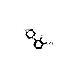 COc1cccc(N2CCNCC2)c1Cl